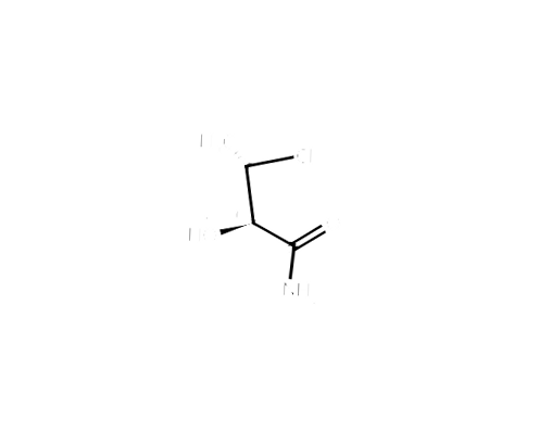 C[C@H](Cl)[C@H](O)C(N)=O